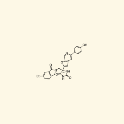 CCc1ccc2c(c1)C(=O)N(C[C@@]1(c3cc4cc(-c5ccc(O)cc5)ncc4o3)NC(=O)NC1=O)C2